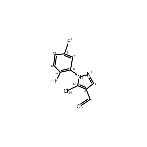 O=Cc1cnn(-c2cc(F)ccc2F)c1Cl